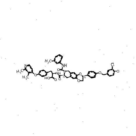 Cc1cccc(NC(=O)N2Cc3cc4c(cc3C[C@H]2C(=O)NC(Cc2ccc(Oc3ccnc(C)c3C)cc2)C(=O)O)OC[C@H](c2ccc(OCc3ccc(Cl)c(Cl)c3)cc2)O4)c1